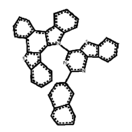 c1ccc2cc(-c3nc(-n4c5ccccc5c5c6ccccc6c6sc7ccccc7c6c54)c4sc5ccccc5c4n3)ccc2c1